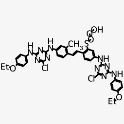 CCOc1ccc(Nc2nc(Cl)nc(Nc3ccc(/C=C/c4ccc(Nc5nc(Cl)nc(Nc6ccc(OCC)cc6)n5)cc4SOOO)c(C)c3)n2)cc1